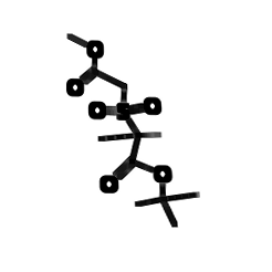 COC(=O)CS(=O)(=O)C(C)(C)C(=O)OC(C)(C)C